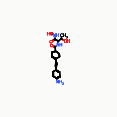 C[C@@H](O)C(NC(=O)c1ccc(C#Cc2ccc(N)cc2)cc1)C(=O)NO